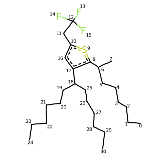 CCCCCCC(C)c1sc(CC(F)(F)F)cc1C(CCCCCC)CCCCCC